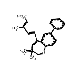 CC(C=CC1=CC(C)(C)COc2ccc(-c3ccccc3)cc21)=CC(=O)O